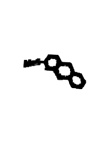 CSc1[c]c2cc3ccccc3cc2cc1